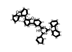 c1ccc(C2N=C(n3c4ccccc4c4ccccc43)N=C(c3ccc4oc5c(-c6cccc7oc8ccccc8c67)cccc5c4c3)N2)cc1